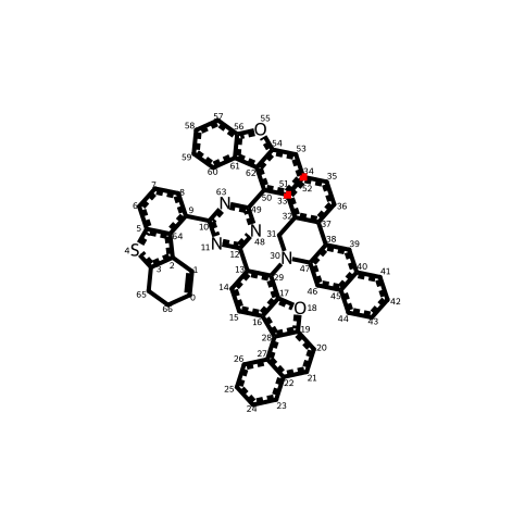 C1=Cc2c(sc3cccc(-c4nc(-c5ccc6c(oc7ccc8ccccc8c76)c5N5Cc6ccccc6-c6cc7ccccc7cc65)nc(-c5cccc6oc7ccccc7c56)n4)c23)CC1